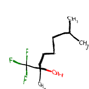 CC(C)C[CH]CC(C)(O)C(F)(F)F